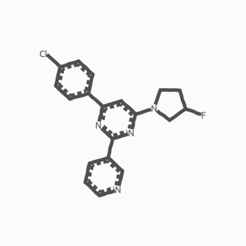 FC1CCN(c2cc(-c3ccc(Cl)cc3)nc(-c3cccnc3)n2)C1